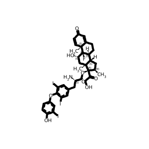 C[C@@H]1C[C@H]2[C@@H]3CCC4=CC(=O)C=C[C@]4(C)[C@@]3(F)[C@@H](O)C[C@]2(C)[C@@]1(OC(=O)[C@@H](N)Cc1cc(I)c(Oc2ccc(O)c(I)c2)c(I)c1)C(=O)CO